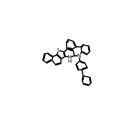 C1=CC(N(c2ccc(-c3ccccc3)cc2)c2ccccc2-c2ccccc2)Nc2c1sc1c2ccc2ccccc21